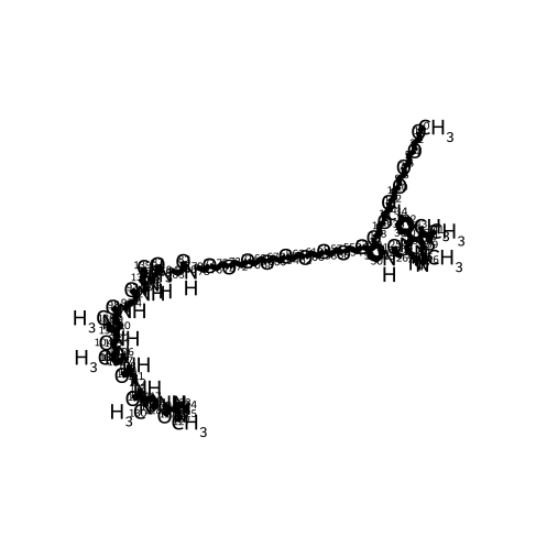 COCCOCCOCCOCCOCCOCCOc1cc(NC(=O)C[C@@H]2N=C(c3ccc(Cl)cc3)c3c(sc(C)c3C)-n3c(C)nnc32)ccc1OCCOCCOCCOCCOCCOCCOCCOCCOCCNC(=O)CCNC(=O)c1nc(NC(=O)CCNC(=O)c2cc(NC(=O)c3nc(NC(=O)CCNC(=O)c4cc(NC(=O)c5nccn5C)cn4C)cn3C)cn2C)cn1C